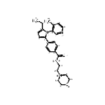 CCc1ccc(-c2ccc(C(=O)NCCN3CCOCC3)cc2)n1-c1cnccc1C